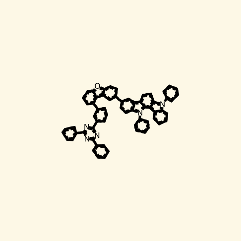 c1ccc(-c2nc(-c3ccccc3)nc(-c3cccc(-c4cccc5oc6ccc(-c7ccc8c(c7)c7ccc9c(c%10ccccc%10n9-c9ccccc9)c7n8-c7ccccc7)cc6c45)c3)n2)cc1